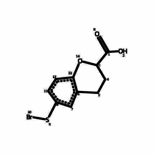 O=C(O)C1CCc2cc(SBr)ccc2O1